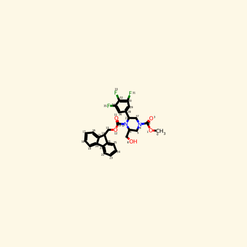 COC(=O)N1CC(CO)N(C(=O)OCC2c3ccccc3-c3ccccc32)C(c2cc(F)c(F)c(F)c2)C1